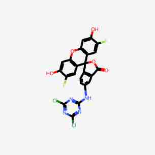 O=C1OC2(c3cc(F)c(O)cc3Oc3cc(O)c(F)cc32)c2ccc(Nc3nc(Cl)nc(Cl)n3)cc21